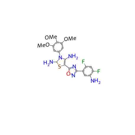 COc1cc(N2C(N)=C(c3nc(-c4cc(N)c(F)cc4F)no3)SC2N)cc(OC)c1OC